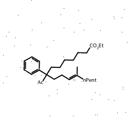 CCCCC/C(C)=C/CCC(CCCCCCC(=O)OCC)(C(C)=O)c1ccccc1